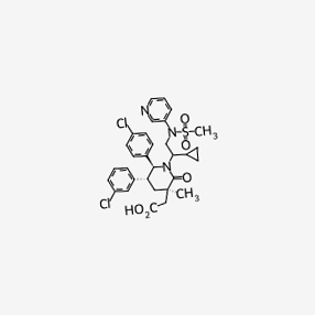 C[C@]1(CC(=O)O)C[C@H](c2cccc(Cl)c2)[C@@H](c2ccc(Cl)cc2)N(C(CN(c2cccnc2)S(C)(=O)=O)C2CC2)C1=O